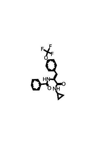 O=C(NC1CC1)C(=Cc1ccc(OC(F)(F)F)cc1)NC(=O)c1ccccc1